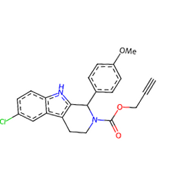 C#CCOC(=O)N1CCc2c([nH]c3ccc(Cl)cc23)C1c1ccc(OC)cc1